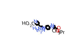 CC(C)OC(=O)c1cnn(-c2ccc(N(N)/C=C(\N)c3ccnc(C(=O)O)c3)cc2)c1C(F)(F)F